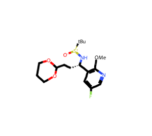 COc1ncc(F)cc1[C@H](CCC1OCCCO1)N[S@@+]([O-])C(C)(C)C